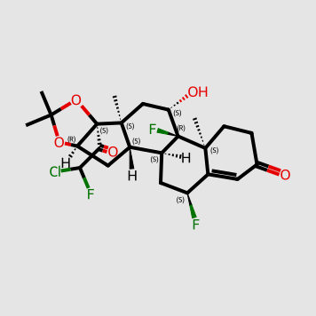 CC1(C)O[C@@H]2C[C@H]3[C@@H]4C[C@H](F)C5=CC(=O)CC[C@]5(C)[C@@]4(F)[C@@H](O)C[C@]3(C)[C@]2(C(=O)C(F)Cl)O1